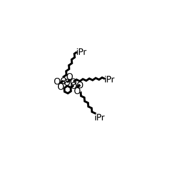 CC(C)CCCCCCCCCOC(=O)OC1CCCC(OC(=O)OCCCCCCCCCC(C)C)C1OC(=O)OCCCCCCCCCC(C)C